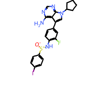 Nc1ncnc2c1c(-c1ccc(N[S+]([O-])c3ccc(I)cc3)c(F)c1)cn2C1CCCC1